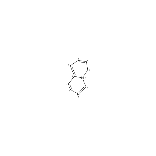 C1=CCN2C=NC=CC2=C1